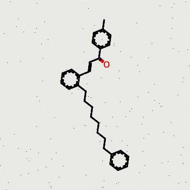 Cc1ccc(C(=O)/C=C/c2ccccc2CCCCCCCCc2ccccc2)cc1